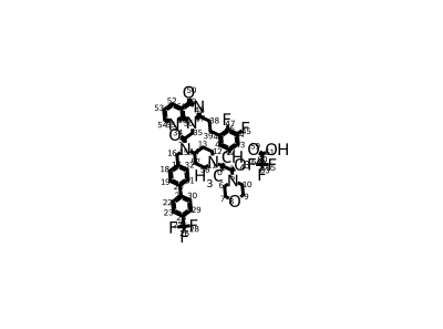 CC(C)(C(=O)N1CCOCC1)N1CCC(N(Cc2ccc(-c3ccc(C(F)(F)F)cc3)cc2)C(=O)Cn2c(CCc3cccc(F)c3F)nc(=O)c3cccnc32)CC1.O=C(O)C(F)(F)F